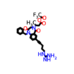 CC(CC(=O)OC(=O)C(F)(F)F)N1CC(=O)N(Cc2ccccc2)c2ccc(C#CCCCNC(=N)N)cc2C1=O